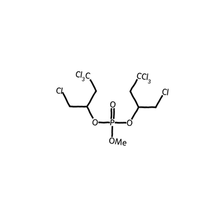 COP(=O)(OC(CCl)CC(Cl)(Cl)Cl)OC(CCl)CC(Cl)(Cl)Cl